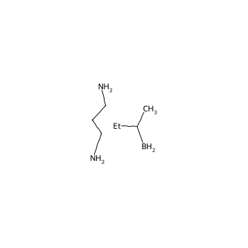 BC(C)CC.NCCCN